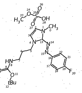 CN1C=CN(CCCNC(=O)OC(C)(C)C)C1N=Nc1ccc(F)cc1.COS(=O)(=O)O